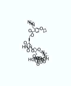 [N-]=[N+]=NCOC1C[C@H](n2cc(C#CCOC(=O)c3ccc(OC4CCC4)cc3CN=[N+]=[N-])c(=O)[nH]c2=O)O[C@@H]1COP(=O)(O)OP(=O)(O)OP(=O)(O)O